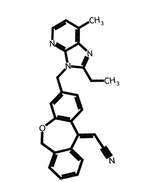 CCc1nc2c(C)ccnc2n1Cc1ccc2c(c1)OCc1ccccc1/C2=C\C#N